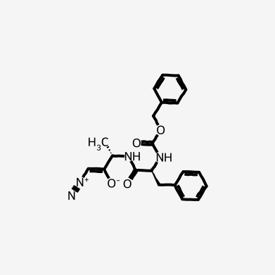 C[C@H](NC(=O)[C@H](Cc1ccccc1)NC(=O)OCc1ccccc1)/C([O-])=C/[N+]#N